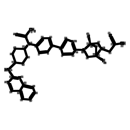 CC(=O)N(c1ccc(-c2ccc(N3C[C@@H]4C[C@H]3CN4CC(=O)O)nc2)cc1)C1CCC(Nc2ncc3ccccc3n2)CC1